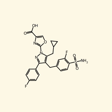 NS(=O)(=O)c1ccc(Cc2c(-c3ccc(F)cc3)nn(-c3nc(C(=O)O)co3)c2CC2CC2)cc1F